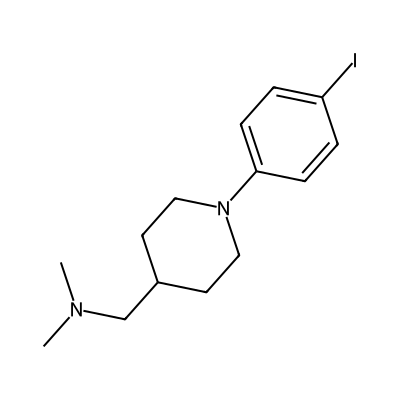 CN(C)CC1CCN(c2ccc(I)cc2)CC1